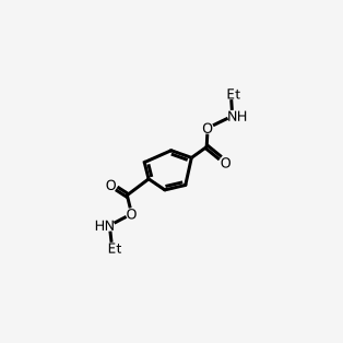 CCNOC(=O)c1ccc(C(=O)ONCC)cc1